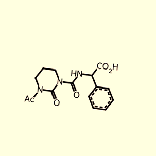 CC(=O)N1CCCN(C(=O)NC(C(=O)O)c2ccccc2)C1=O